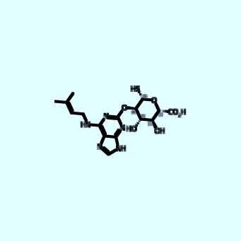 CC(C)=CCNc1nc(O[C@@H]2[C@@H](O)[C@H](O)[C@@H](C(=O)O)O[C@H]2S)nc2[nH]cnc12